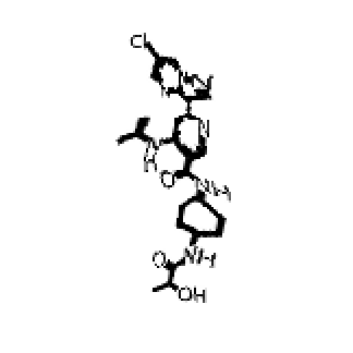 CC(C)Nc1cc(-c2cnn3cc(Cl)cnc23)ncc1C(=O)NC1CCC(NC(=O)C(C)O)CC1